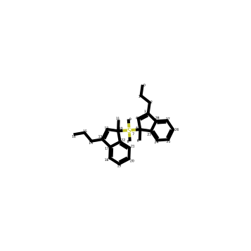 CCCC1=CC(C)(S(C)(C)C2(C)C=C(CCC)c3ccccc32)c2ccccc21